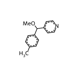 COC(c1ccncc1)c1ccc(C)cc1